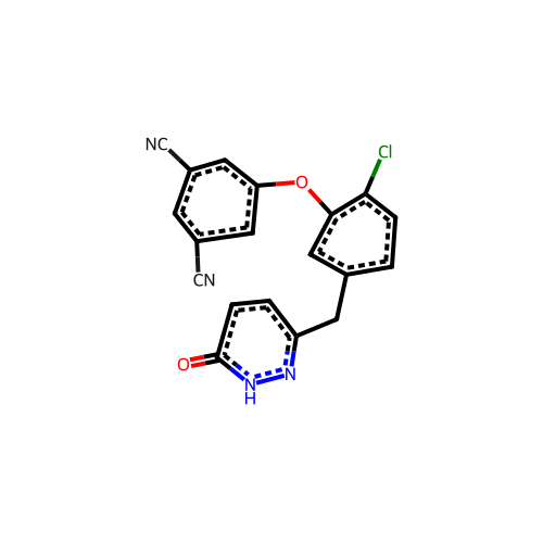 N#Cc1cc(C#N)cc(Oc2cc(Cc3ccc(=O)[nH]n3)ccc2Cl)c1